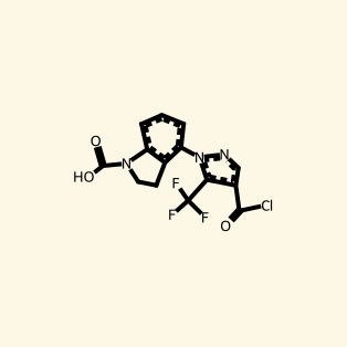 O=C(Cl)c1cnn(-c2cccc3c2CCN3C(=O)O)c1C(F)(F)F